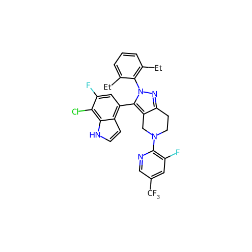 CCc1cccc(CC)c1-n1nc2c(c1-c1cc(F)c(Cl)c3[nH]ccc13)CN(c1ncc(C(F)(F)F)cc1F)CC2